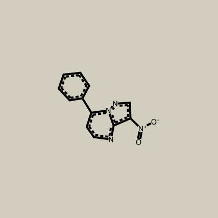 O=[N+]([O-])c1cnn2c(-c3ccccc3)ccnc12